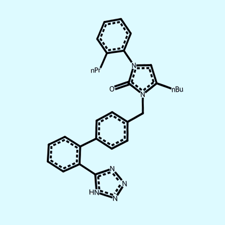 CCCCc1cn(-c2ccccc2CCC)c(=O)n1Cc1ccc(-c2ccccc2-c2nnn[nH]2)cc1